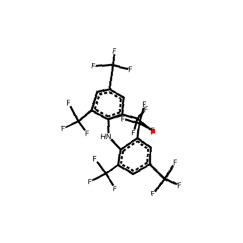 FC(F)(F)c1cc(C(F)(F)F)c(Nc2c(C(F)(F)F)cc(C(F)(F)F)cc2C(F)(F)F)c(C(F)(F)F)c1